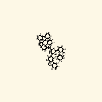 c1ccc2c(c1)-c1ccccc1C21c2cccc3ccc4c(c23)c2c1cccc2n4-c1nc(-c2ccc3oc4ccccc4c3c2)nc(-c2cccc3oc4ccccc4c23)n1